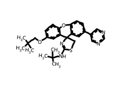 CC(C)(C)COc1ccc2c(c1)C1(CSC(NC(C)(C)C)=N1)c1cc(-c3cncnc3)ccc1O2